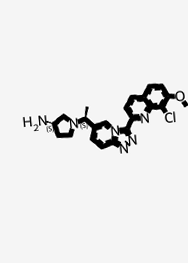 COc1ccc2ccc(-c3nnc4ccc([C@H](C)N5CC[C@H](N)C5)cn34)nc2c1Cl